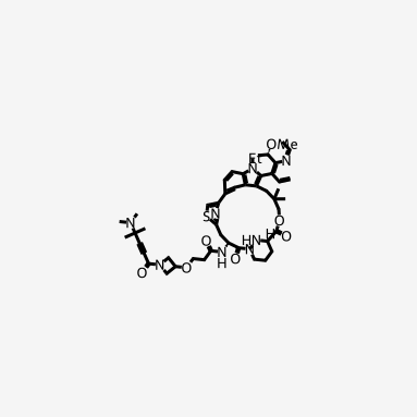 C=C/C(=C(\N=C/C)[C@H](C)OC)c1c2c3cc(ccc3n1CC)-c1csc(n1)C[C@H](NC(=O)CCOC1CN(C(=O)C#CC(C)(C)N(C)C)C1)C(=O)N1CCC[C@H](N1)C(=O)OCC(C)(C)C2